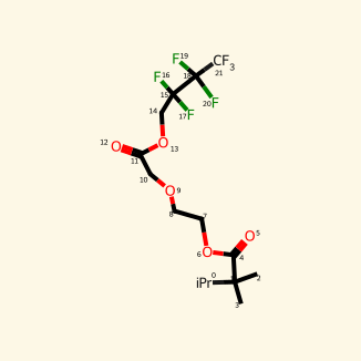 CC(C)C(C)(C)C(=O)OCCOCC(=O)OCC(F)(F)C(F)(F)C(F)(F)F